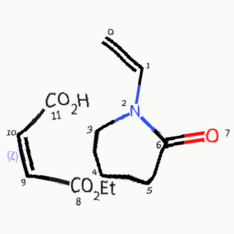 C=CN1CCCC1=O.CCOC(=O)/C=C\C(=O)O